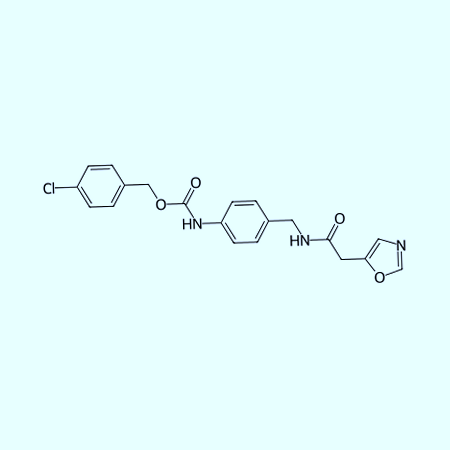 O=C(Cc1cnco1)NCc1ccc(NC(=O)OCc2ccc(Cl)cc2)cc1